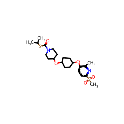 Cc1nc(S(C)(=O)=O)ccc1OC1CCC(OC2CCN(C(=O)SC(C)C)CC2)CC1